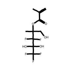 C=C(C)C(=O)OC(C)(CO)C(F)(F)C(O)(O)C(F)(F)F